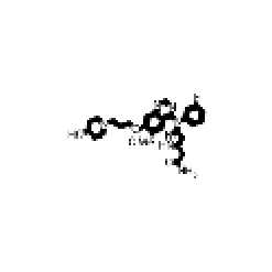 COc1cc2c(N(c3cccc(F)c3)c3cc(CC(N)=O)[nH]n3)ncnc2cc1OCCCN1CCC(O)CC1